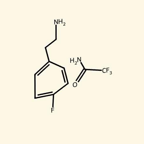 NC(=O)C(F)(F)F.NCCc1ccc(F)cc1